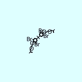 C=C(C)COCCOc1c(Br)cc(C(C)(C)c2cc(Br)c(OCCOCC(=C)C)c(Br)c2)cc1Br